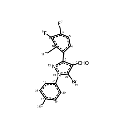 O=Cc1c(-c2ccc(F)c(F)c2F)nn(-c2ccc(F)cc2)c1Br